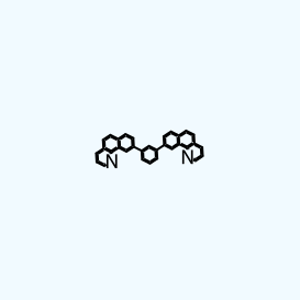 c1cc(-c2ccc3ccc4cccnc4c3c2)cc(-c2ccc3ccc4cccnc4c3c2)c1